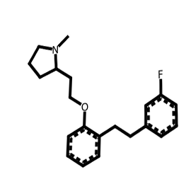 CN1CCCC1CCOc1ccccc1CCc1cccc(F)c1